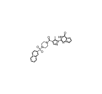 Cc1c(C(=O)N2CCN(S(=O)(=O)c3ccc4ccccc4c3)CC2)cnn1-c1nn2cccc2c(=O)[nH]1